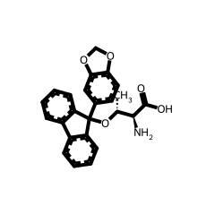 C[C@@H](OC1(c2ccc3c(c2)OCO3)c2ccccc2-c2ccccc21)[C@H](N)C(=O)O